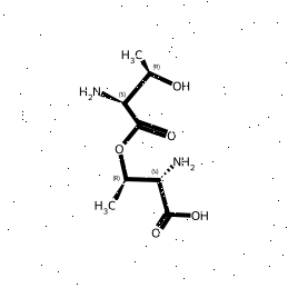 C[C@@H](O)[C@H](N)C(=O)O[C@H](C)[C@H](N)C(=O)O